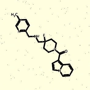 Cc1ccc(CNCC2(F)CCN(C(=O)c3ccn4ccccc34)CC2)nc1